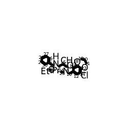 CCOC(NCC(C)C(=O)N(Cc1cc(Cl)c2c(c1)OCCCO2)CC(C)C)c1ccccc1